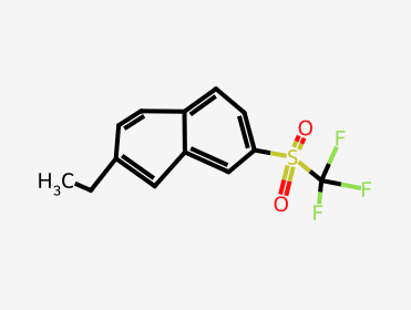 CCc1ccc2ccc(S(=O)(=O)C(F)(F)F)cc2c1